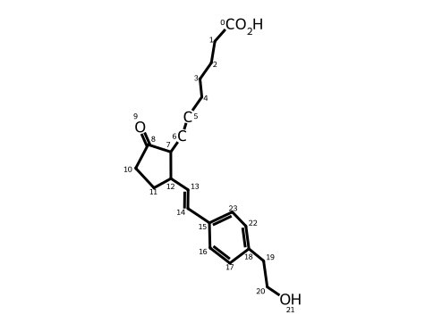 O=C(O)CCCCCCC1C(=O)CCC1/C=C/c1ccc(CCO)cc1